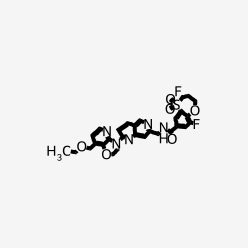 CCOCc1ccnc2c1OCCN2c1ccc2cnc(CNC(=O)c3cc(F)c4c(c3)S(=O)(=O)[C@@H](F)CCO4)cc2n1